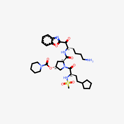 CS(=O)(=O)N[C@H](CCC1CCCC1)C(=O)N1C[C@H](OC(=O)N2CCCCC2)C[C@H]1C(=O)N[C@@H](CCCCN)C(=O)c1nc2ccccc2o1